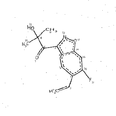 C=Cc1cc2c(C(=O)C(C)(C)O)noc2cc1F